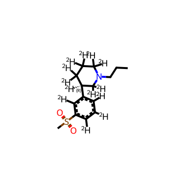 [2H]c1c([2H])c([C@]2([2H])C([2H])([2H])N(CCC)C([2H])([2H])C([2H])([2H])C2([2H])[2H])c([2H])c(S(C)(=O)=O)c1[2H]